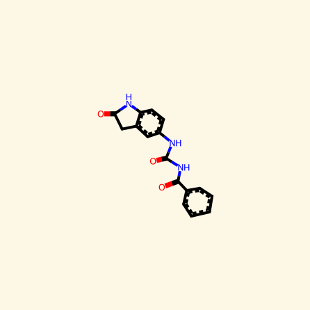 O=C1Cc2cc(NC(=O)NC(=O)c3ccccc3)ccc2N1